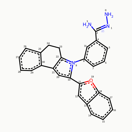 N/N=C(\N)c1cccc(-n2c(-c3cc4ccccc4o3)cc3c2CCc2ccccc2-3)c1